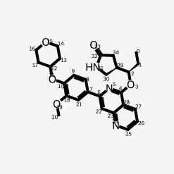 CC[C@@H](Oc1nc(-c2ccc(OC3CCOCC3)c(OC)c2)cc2ncccc12)[C@H]1CNC(=O)C1